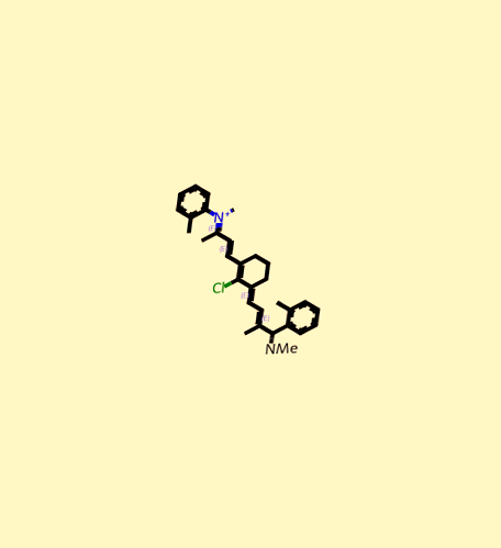 CNC(/C(C)=C/C=C1\CCCC(/C=C/C(C)=[N+](\C)c2ccccc2C)=C1Cl)c1ccccc1C